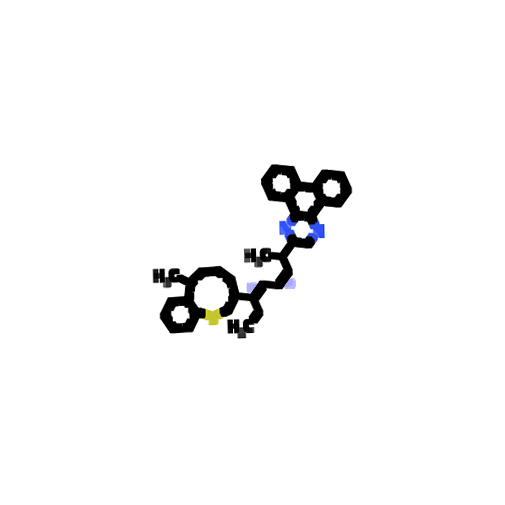 C=C/C(=C\C=C/C(C)c1cnc2c3ccccc3c3ccccc3c2n1)c1cccc(C)c2ccccc2sc1